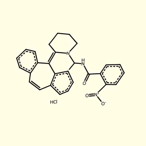 CC(NC(=O)c1ccccc1[N+](=O)[O-])N1CCCCC1=C1c2ccccc2C=Cc2ccccc21.Cl